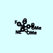 COCOc1cc(C#N)cc2c1c(-c1ccc(C(=O)OC)cc1)c(C1CCOCC1)n2-c1ccc(F)cc1